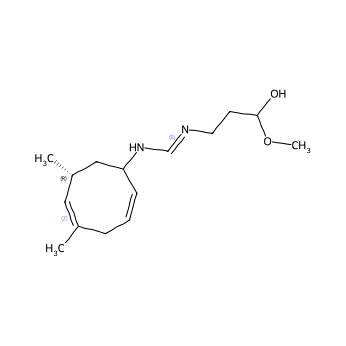 COC(O)CC/N=C/NC1C=CC/C(C)=C\[C@H](C)C1